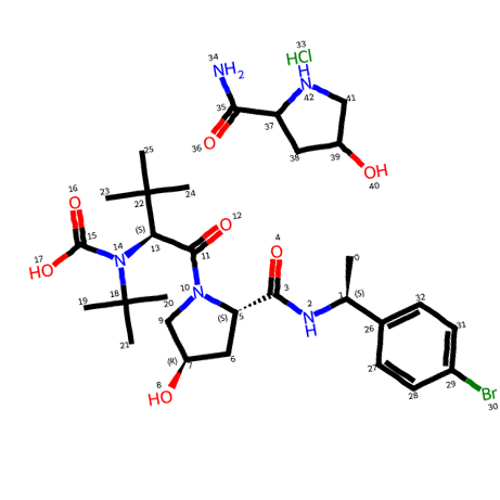 C[C@H](NC(=O)[C@@H]1C[C@@H](O)CN1C(=O)[C@@H](N(C(=O)O)C(C)(C)C)C(C)(C)C)c1ccc(Br)cc1.Cl.NC(=O)C1CC(O)CN1